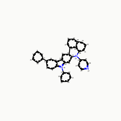 c1ccc(-c2ccc3c(c2)c2cc4c(cc2n3-c2ccccc2)N(c2ccncc2)c2cccc3cccc-4c23)cc1